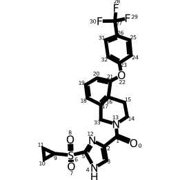 O=C(c1c[nH]c(S(=O)(=O)C2CC2)n1)N1CCc2c(cccc2Oc2ccc(C(F)(F)F)cc2)C1